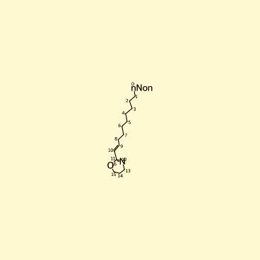 CCCCCCCCCCCCCCCCCC=CC1=NCCCO1